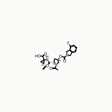 C=C[C@@H]1C[C@]1(NC(=O)[C@@H]1C[C@@H](OC(=O)N2Cc3cccc(F)c3C2)CN1C(C)=O)C(=O)O